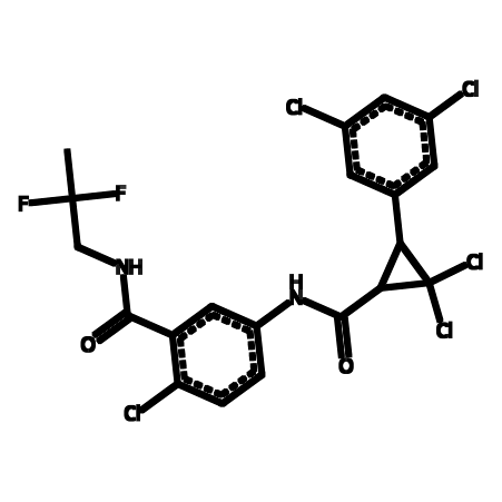 CC(F)(F)CNC(=O)c1cc(NC(=O)C2C(c3cc(Cl)cc(Cl)c3)C2(Cl)Cl)ccc1Cl